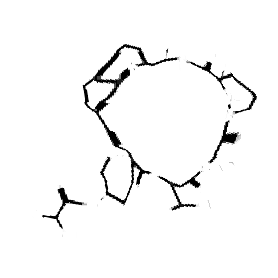 CC(C)C(=O)O[C@H]1CC[C@@]2(/C=C/c3ccc4ccc(nc4c3)[C@@H](C)NC(=O)[C@@H]3CCCN(N3)C(=O)[C@H](C)NC(=O)C(C(C)C)OC2=O)CC1